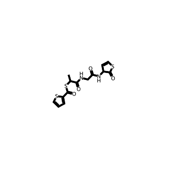 CC(SC(=O)c1cccs1)C(=O)NCC(=O)NC1C=CSC1=O